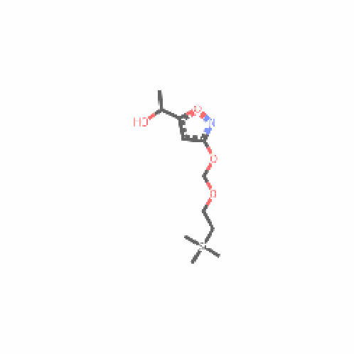 CC(O)c1cc(OCOCC[Si](C)(C)C)no1